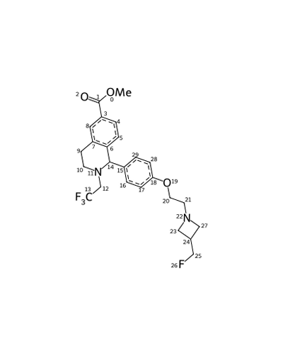 COC(=O)c1ccc2c(c1)CCN(CC(F)(F)F)C2c1ccc(OCCN2CC(CF)C2)cc1